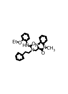 CCOc1ccccc1NC(=O)N(CCc1ccccc1)Cc1nc2ccccc2n(C)c1=O